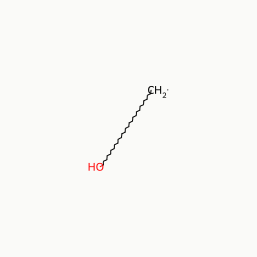 [CH2]CCCCCCCCCCCCCCCCCCCCCCCCCCCO